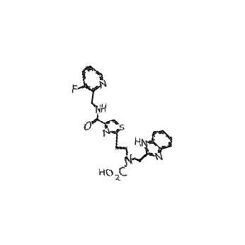 O=C(NCc1ncccc1F)c1csc(CCN(Cc2nc3ccccc3[nH]2)C(=O)O)n1